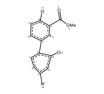 COC(=O)c1nc(-c2ccc(Br)cc2Cl)ccc1Cl